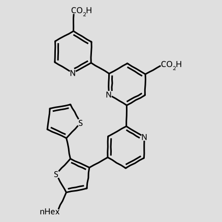 CCCCCCc1cc(-c2ccnc(-c3cc(C(=O)O)cc(-c4cc(C(=O)O)ccn4)n3)c2)c(-c2cccs2)s1